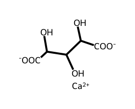 O=C([O-])C(O)C(O)C(O)C(=O)[O-].[Ca+2]